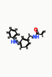 C=CC(=O)NCc1cccc(Nc2ccccc2)c1